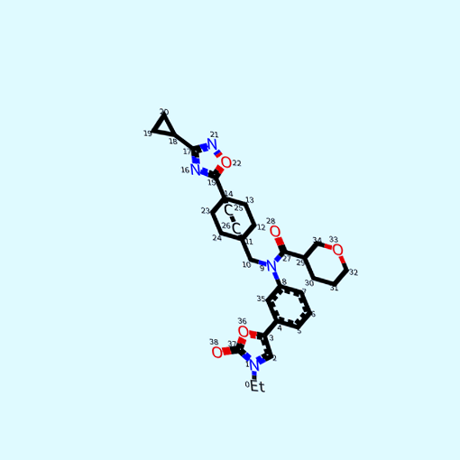 CCn1cc(-c2cccc(N(CC34CCC(c5nc(C6CC6)no5)(CC3)CC4)C(=O)C3CCCOC3)c2)oc1=O